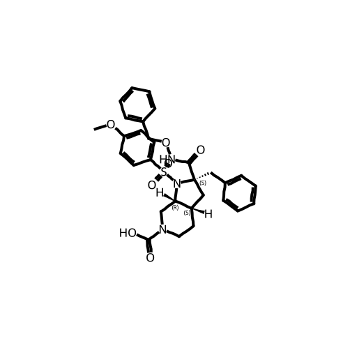 COc1ccc(S(=O)(=O)N2[C@H]3CN(C(=O)O)CC[C@H]3C[C@]2(Cc2ccccc2)C(=O)NOCc2ccccc2)cc1